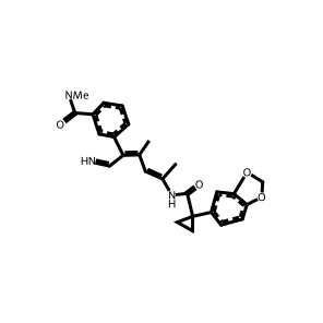 CNC(=O)c1cccc(/C(C=N)=C(C)/C=C(\C)NC(=O)C2(c3ccc4c(c3)OCO4)CC2)c1